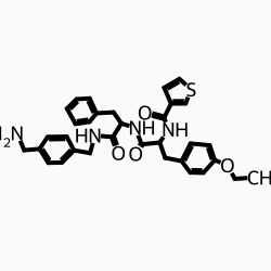 CCOc1ccc(CC(NC(=O)c2ccsc2)C(=O)NC(Cc2ccccc2)C(=O)NCc2ccc(CN)cc2)cc1